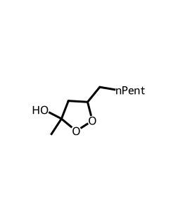 CCCCCCC1CC(C)(O)OO1